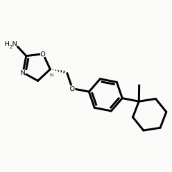 CC1(c2ccc(OC[C@@H]3CN=C(N)O3)cc2)CCCCC1